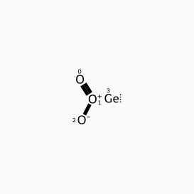 O=[O+][O-].[Ge]